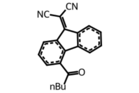 CCCCC(=O)c1cccc2c1-c1ccccc1C2=C(C#N)C#N